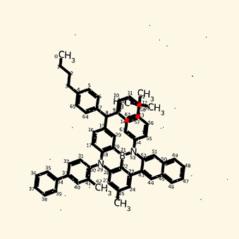 CCCCc1ccc(C(c2ccccc2)c2ccc3c(c2)B2c4c(cc(C)cc4N3c3ccc(-c4ccccc4)cc3C)-c3cc4ccccc4cc3N2c2ccc(C(C)(C)C)cc2)cc1